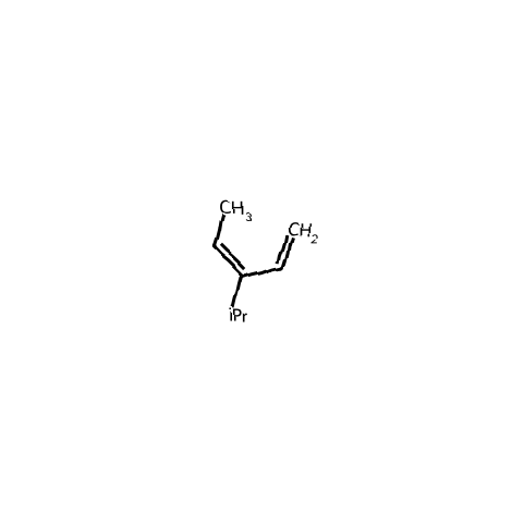 C=CC(=CC)C(C)C